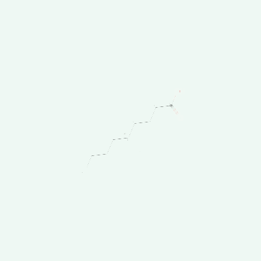 CCCC[C@@H](S)CCCC(=O)O